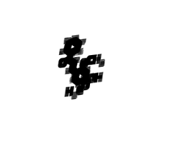 COC1=CC(O)(OC)CC=C1C=CC(=O)c1ccccc1